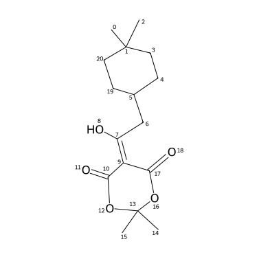 CC1(C)CCC(CC(O)=C2C(=O)OC(C)(C)OC2=O)CC1